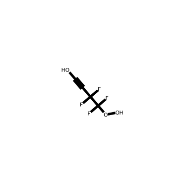 OC#CC(F)(F)C(F)(F)OO